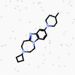 CC1CCN(c2ccc3c(c2)nc2n3CCN(C3CCC3)CC2)CC1